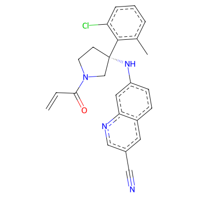 C=CC(=O)N1CC[C@@](Nc2ccc3cc(C#N)cnc3c2)(c2c(C)cccc2Cl)C1